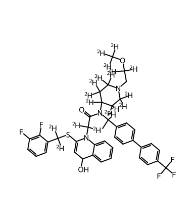 [2H]C([2H])([2H])OC([2H])([2H])CN1C([2H])([2H])C([2H])([2H])C([2H])(N(C(=O)C([2H])([2H])N2C(SC([2H])([2H])c3cccc(F)c3F)=CC(O)c3ccccc32)C([2H])(C)c2ccc(-c3ccc(C(F)(F)F)cc3)cc2)C([2H])([2H])C1([2H])[2H]